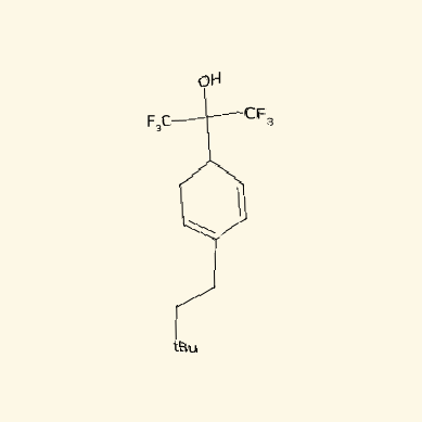 CC(C)(C)CCC1=CCC(C(O)(C(F)(F)F)C(F)(F)F)C=C1